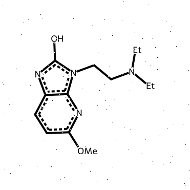 CCN(CC)CCn1c(O)nc2ccc(OC)nc21